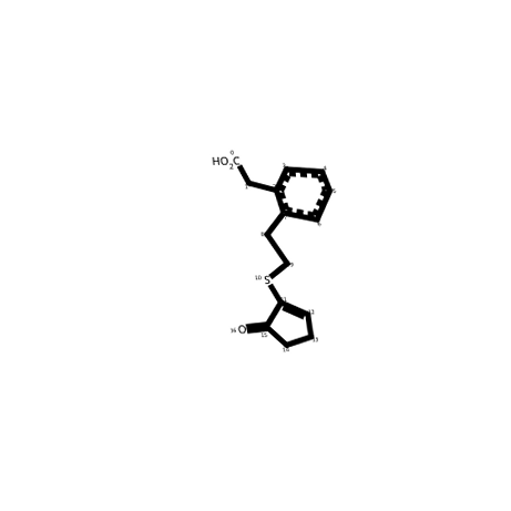 O=C(O)Cc1ccccc1CCSC1=CCCC1=O